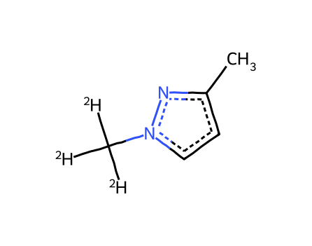 [2H]C([2H])([2H])n1ccc(C)n1